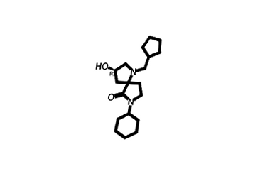 O=C1N(C2CCCCC2)CCC12C[C@@H](O)CN2CC1CCCC1